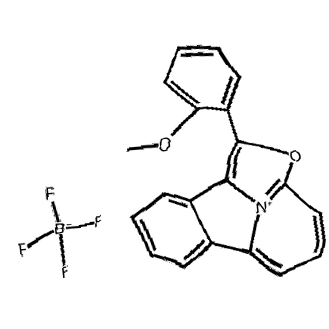 COc1ccccc1-c1oc2cccc3[n+]2c1-c1ccccc1-3.F[B-](F)(F)F